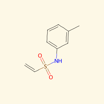 C=CS(=O)(=O)Nc1cccc(C)c1